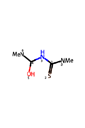 CNC(=S)NC(O)NC